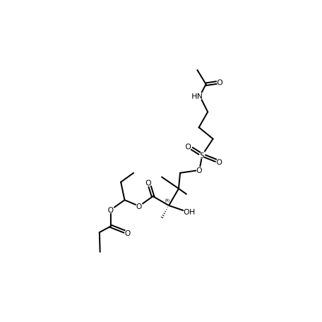 CCC(=O)OC(CC)OC(=O)[C@](C)(O)C(C)(C)COS(=O)(=O)CCCNC(C)=O